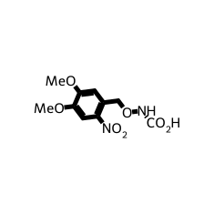 COc1cc(CONC(=O)O)c([N+](=O)[O-])cc1OC